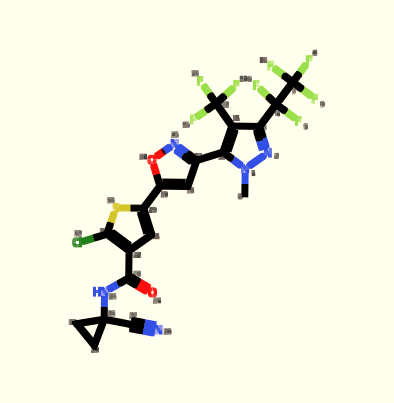 Cn1nc(C(F)(F)C(F)(F)F)c(C(F)(F)F)c1-c1cc(-c2cc(C(=O)NC3(C#N)CC3)c(Cl)s2)on1